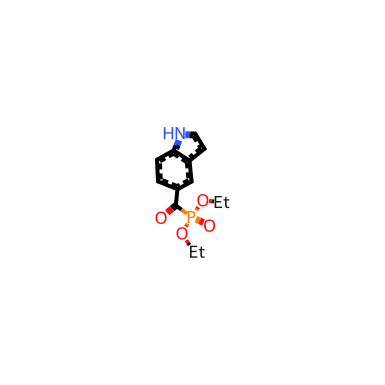 CCOP(=O)(OCC)C(=O)c1ccc2[nH]ccc2c1